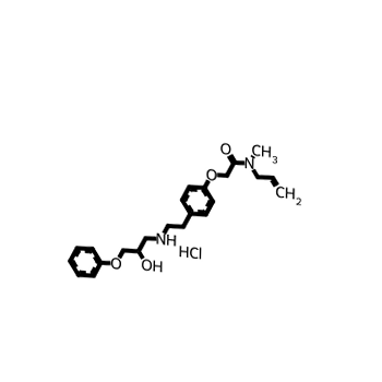 C=CCN(C)C(=O)COc1ccc(CCNCC(O)COc2ccccc2)cc1.Cl